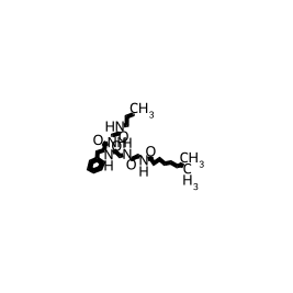 CCCCNC(=O)CNC(=O)C(Cc1ccccc1)NC(=O)CNC(=O)CNC(=O)CCCCCC(C)C